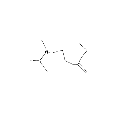 C=C(CC)CCN(C)C(C)C